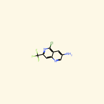 Nc1cnc2cc(C(F)(F)F)nc(Cl)c2c1